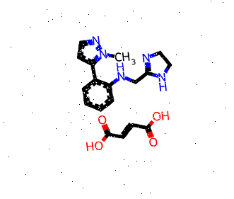 Cn1nccc1-c1ccccc1NCC1=NCCN1.O=C(O)C=CC(=O)O